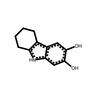 Oc1cc2[nH]c3c(c2cc1O)C[CH]CC3